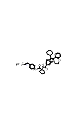 O=C(O)/C=C/c1ccc(NC(=O)C2(NC(=O)c3ccc4c(C5CCCCC5)c5n(c4c3)CCOc3cccnc3-5)CCCC2)cc1